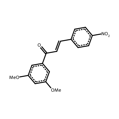 COc1cc(OC)cc(C(=O)/C=C/c2ccc([N+](=O)[O-])cc2)c1